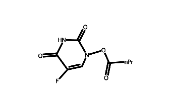 CCCC(=O)On1cc(F)c(=O)[nH]c1=O